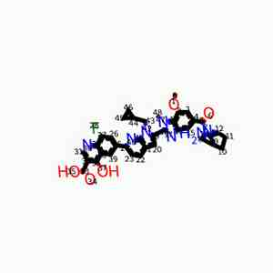 COc1cc(C(=O)N2CC3CCC2C3N)cc2nc(-c3cc4ccc(-c5cc(F)c6ncc(C(=O)O)c(O)c6c5)nc4n3CC3CC3)n(C)c12